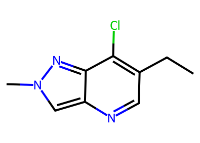 CCc1cnc2cn(C)nc2c1Cl